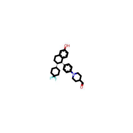 O=CC1CCN(c2ccc([C@H]3c4ccc(O)cc4CC[C@H]3C3CCC(F)(F)CC3)cc2)CC1